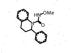 CONC(=O)N1c2ccccc2CCC1c1ccccc1